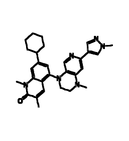 Cc1cc2c(N3CCN(C)c4cc(-c5cnn(C)c5)ncc43)cc(C3CCCCC3)cc2n(C)c1=O